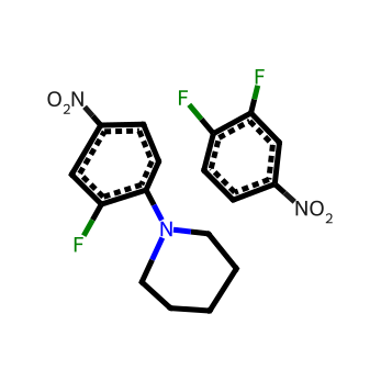 O=[N+]([O-])c1ccc(F)c(F)c1.O=[N+]([O-])c1ccc(N2CCCCC2)c(F)c1